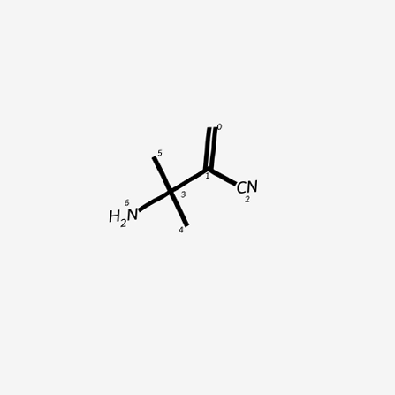 C=C(C#N)C(C)(C)N